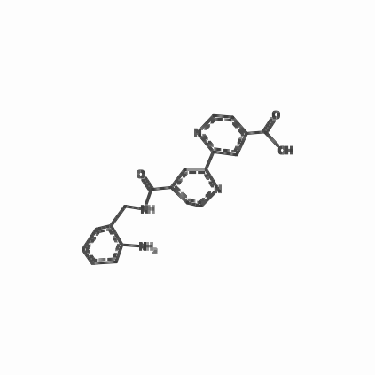 Nc1ccccc1CNC(=O)c1ccnc(-c2cc(C(=O)O)ccn2)c1